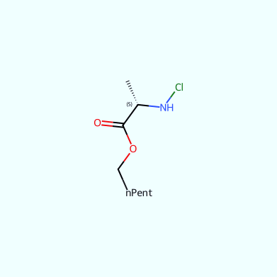 CCCCCCOC(=O)[C@H](C)NCl